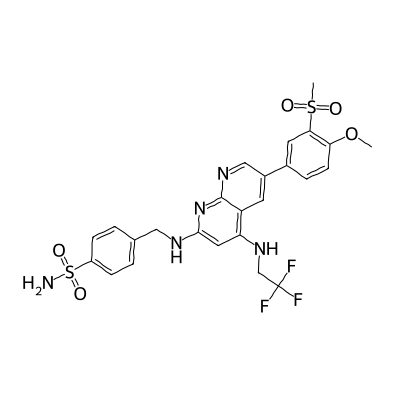 COc1ccc(-c2cnc3nc(NCc4ccc(S(N)(=O)=O)cc4)cc(NCC(F)(F)F)c3c2)cc1S(C)(=O)=O